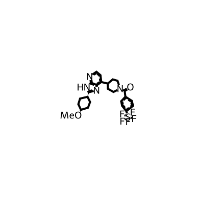 CO[C@H]1CC[C@H](c2nc3c(C4CCN(C(=O)c5ccc(S(F)(F)(F)(F)F)cc5)CC4)ccnc3[nH]2)CC1